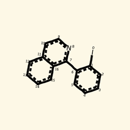 Ic1ccccc1-c1nccc2ccccc12